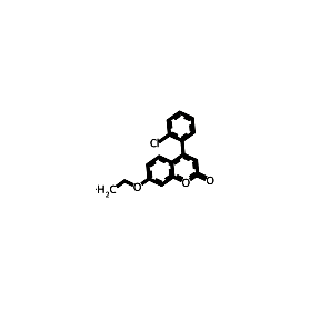 [CH2]COc1ccc2c(-c3ccccc3Cl)cc(=O)oc2c1